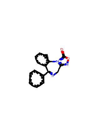 O=c1onc2n1-c1ccccc1C(c1ccccc1)=NC2